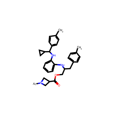 CC(=O)N1CC(C(=O)OCC(Cc2ccc(C)cc2)Nc2ccccc2NC(c2ccc(C)cc2)C2CC2)C1